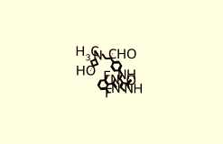 CN(CC[C@H](C=O)c1ccc(Nc2nc(-c3c(F)cccc3F)nc3c2C(=O)NC3)cc1)[C@H]1C[C@@H](O)C1